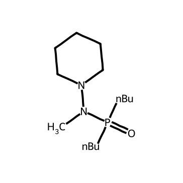 CCCCP(=O)(CCCC)N(C)N1CCCCC1